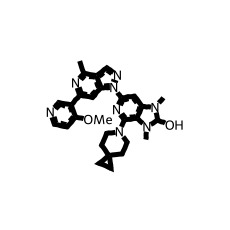 COc1ccncc1-c1cc2c(cnn2-c2cc3c(c(N4CCC5(CC4)CC5)n2)N(C)C(O)N3C)c(C)n1